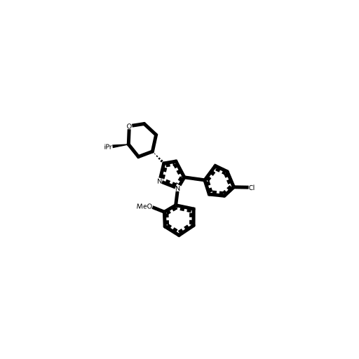 COc1ccccc1-n1nc([C@H]2CCO[C@H](C(C)C)C2)cc1-c1ccc(Cl)cc1